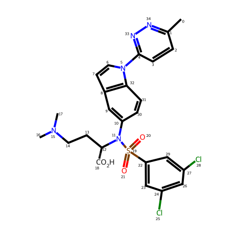 Cc1ccc(-n2ccc3cc(N(C(CCN(C)C)C(=O)O)S(=O)(=O)c4cc(Cl)cc(Cl)c4)ccc32)nn1